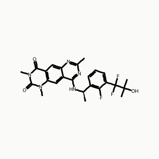 Cc1nc(N[C@H](C)c2cccc(C(F)(F)C(C)(C)O)c2F)c2cc3c(cc2n1)c(=O)n(C)c(=O)n3C